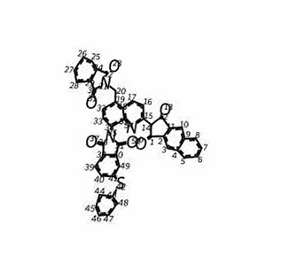 O=C1c2cc3ccccc3cc2C(=O)C1c1ccc2c(CN3C(=O)c4ccccc4C3=O)ccc(N3C(=O)c4ccc(Sc5ccccc5)cc4C3=O)c2n1